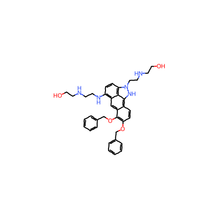 OCCNCCNc1ccc2c3c(c4ccc(OCc5ccccc5)c(OCc5ccccc5)c4cc13)NN2CCNCCO